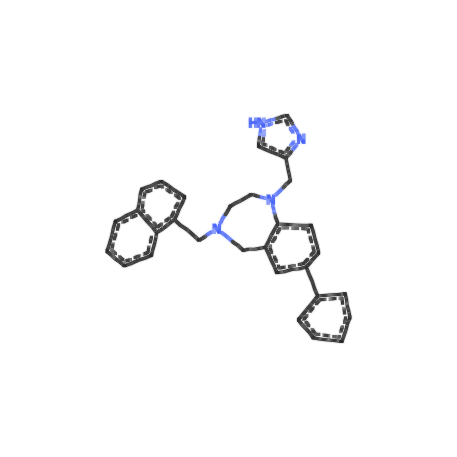 c1ccc(-c2ccc3c(c2)CN(Cc2cccc4ccccc24)CCN3Cc2c[nH]cn2)cc1